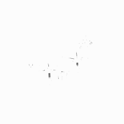 O.O.O.O=[As]([O-])([O-])[O-].O=[As]([O-])([O-])[O-].[Mg+2].[Mg+2].[Mg+2]